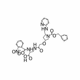 O=C(COC1CC(CNc2ccccn2)N(C(=O)OCc2ccccc2)C1)NCC(NC(=O)c1ccccc1[N+](=O)[O-])C(=O)O